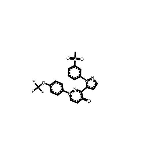 CS(=O)(=O)c1cccc(-n2nccc2-c2nn(-c3ccc(OC(F)(F)F)cc3)ccc2=O)c1